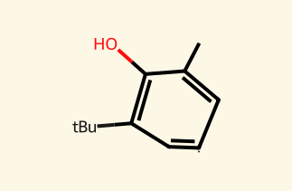 Cc1c[c]cc(C(C)(C)C)c1O